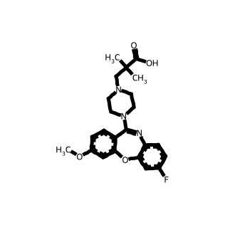 COc1ccc2c(c1)Oc1cc(F)ccc1N=C2N1CCN(CC(C)(C)C(=O)O)CC1